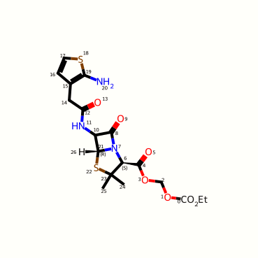 CCOC(=O)OCOC(=O)[C@@H]1N2C(=O)C(NC(=O)Cc3ccsc3N)[C@H]2SC1(C)C